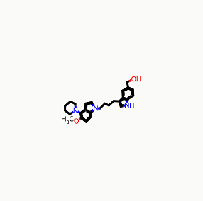 COc1ccc2c(ccn2CCCCc2c[nH]c3ccc(CO)cc23)c1N1CCCCC1